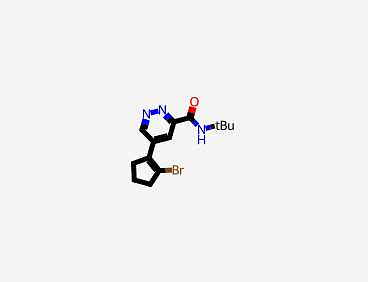 CC(C)(C)NC(=O)c1cc(C2=C(Br)CCC2)cnn1